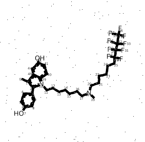 Cc1c(-c2ccc(O)cc2)n(CCCCCCCN(C)CCCCCCC(F)(F)C(F)(F)C(F)(F)C(F)(F)F)c2ccc(O)cc12